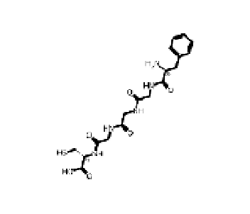 N[C@@H](Cc1ccccc1)C(=O)NCC(=O)NCC(=O)NCC(=O)N[C@@H](CS)C(=O)O